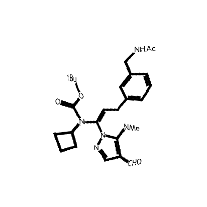 CNc1c(C=O)cnn1/C(=C\Cc1cccc(CNC(C)=O)c1)N(C(=O)OC(C)(C)C)C1CCC1